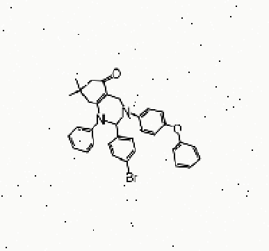 CC1(C)CC(=O)C2=C(C1)N(c1ccccc1)C(c1ccc(Br)cc1)N(c1ccc(Oc3ccccc3)cc1)C2